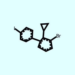 Brc1cccc(-c2ccc(I)cc2)c1C1CC1